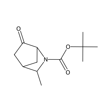 CC1C2CC(=O)C(C2)N1C(=O)OC(C)(C)C